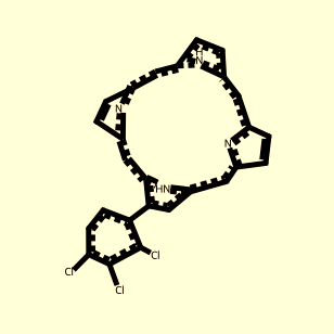 Clc1ccc(-c2cc3cc4nc(cc5ccc(cc6nc(cc2[nH]3)C=C6)[nH]5)C=C4)c(Cl)c1Cl